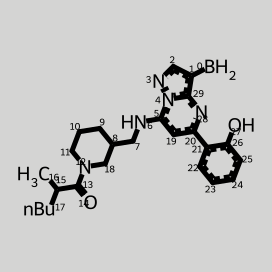 Bc1cnn2c(NCC3CCCN(C(=O)C(C)CCCC)C3)cc(-c3ccccc3O)nc12